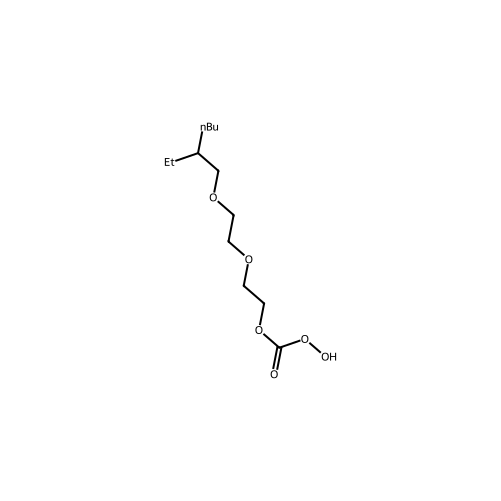 CCCCC(CC)COCCOCCOC(=O)OO